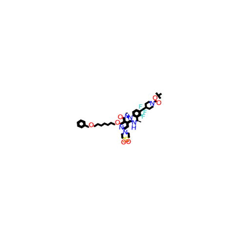 C[C@@H](Nc1nn(C)c(=O)c2c(OCCCCCCCOCc3ccccc3)nc(N3CCS(=O)(=O)CC3)cc12)c1cccc(C(F)(F)C2CCN(C(=O)OC(C)(C)C)CC2)c1F